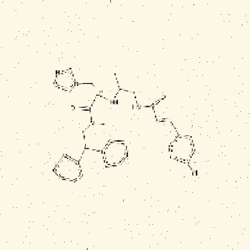 CC(CNC(=O)/C=C/c1ccc(Cl)cc1)N[C@@H](Cn1ccnc1)C(=O)N(C)CC(c1ccccc1)c1ccccc1